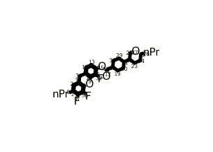 CCCc1cc2c(c(F)c1F)Oc1c(ccc(OC(=O)C3CCC(C4CCC(CCC)OC4)CC3)c1F)C2